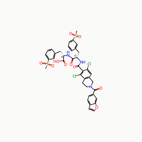 CS(=O)(=O)c1cccc(C[C@H](NC(=O)[C@H](Cc2cccc(S(C)(=O)=O)c2)NC(=O)c2c(Cl)cc3c(c2Cl)CCN(C(=O)c2ccc4ccoc4c2)C3)C(=O)O)c1